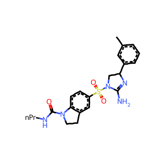 CCCNC(=O)N1CCc2cc(S(=O)(=O)N3CC(c4cccc(C)c4)N=C3N)ccc21